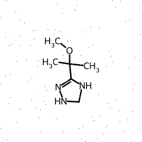 COC(C)(C)C1=NNCN1